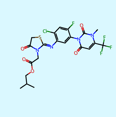 CC(C)COC(=O)CN1C(=O)CSC1=Nc1cc(-n2c(=O)cc(C(F)(F)F)n(C)c2=O)c(F)cc1Cl